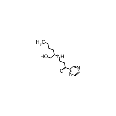 CCCCC(CO)NCCC(=O)c1cnccn1